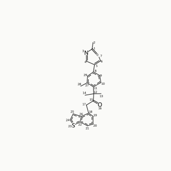 C=C(C)/N=C\C(=C/C)c1ccc(C(C)(C)C(=O)Cc2cccc3sccc23)c(C)c1